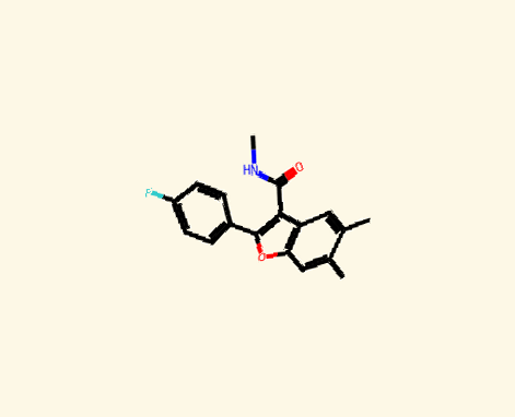 CNC(=O)c1c(-c2ccc(F)cc2)oc2cc(C)c(C)cc12